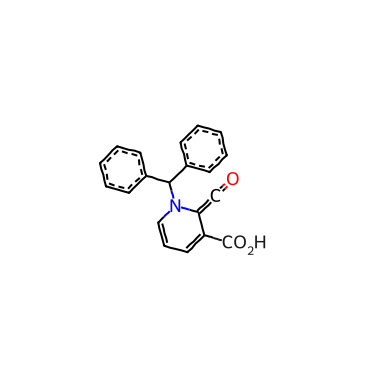 O=C=C1C(C(=O)O)=CC=CN1C(c1ccccc1)c1ccccc1